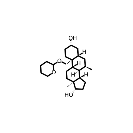 C[C@@H]1C[C@H]2C[C@@H](O)CC[C@]2(COC2CCCCO2)[C@H]2CC[C@]3(C)[C@@H](O)CC[C@H]3[C@H]12